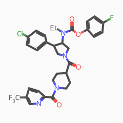 CCN(C(=O)Oc1ccc(F)cc1)C1CN(C(=O)C2CCN(C(=O)c3ccc(C(F)(F)F)cn3)CC2)CC1c1ccc(Cl)cc1